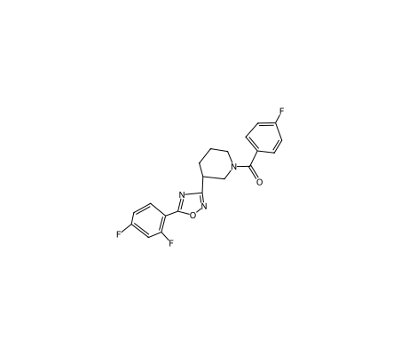 O=C(c1ccc(F)cc1)N1CCCC(c2noc(-c3ccc(F)cc3F)n2)C1